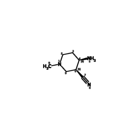 CN1CC[C@@H](N)[C@@H](C#N)C1